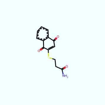 NC(=O)CCSC1=CC(=O)c2ccccc2C1=O